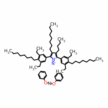 CCCCCCCCC1=C(c2cc(CC)c(CCCCCCCC)c(CC)c2)[N+](=[N-])C(c2cc(CC)c(CCCCCCCC)c(CC)c2)=C1CCCC.c1ccc([O][Ni][O]c2ccccc2)cc1